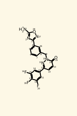 Nc1nc(-c2cccc(Cn3nc(-c4cc(F)c(F)c(F)c4)ccc3=O)c2)no1